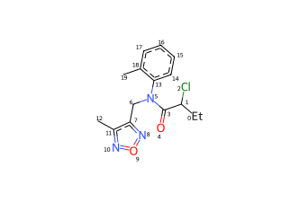 CCC(Cl)C(=O)N(Cc1nonc1C)c1ccccc1C